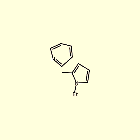 CCn1cccc1C.c1ccncc1